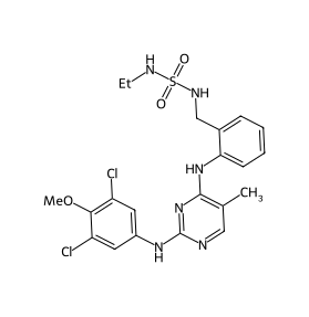 CCNS(=O)(=O)NCc1ccccc1Nc1nc(Nc2cc(Cl)c(OC)c(Cl)c2)ncc1C